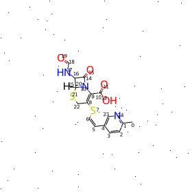 Cc1ccc(/C=C\SC2=C(C(=O)O)N3C(=O)C(NC=O)[C@H]3SC2)cn1